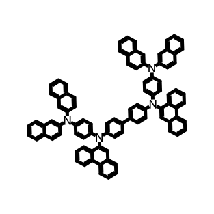 c1ccc2cc(N(c3ccc(N(c4ccc(-c5ccc(N(c6ccc(N(c7ccc8ccccc8c7)c7ccc8ccccc8c7)cc6)c6cc7ccccc7c7ccccc67)cc5)cc4)c4cc5ccccc5c5ccccc45)cc3)c3ccc4ccccc4c3)ccc2c1